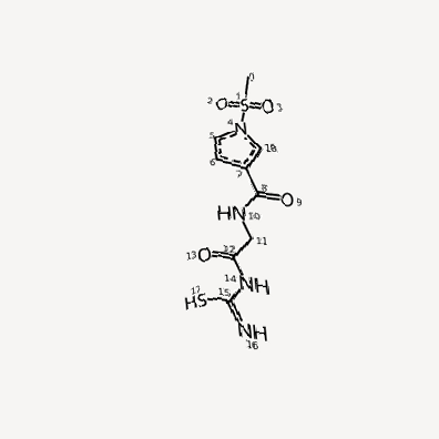 CS(=O)(=O)n1ccc(C(=O)NCC(=O)NC(=N)S)c1